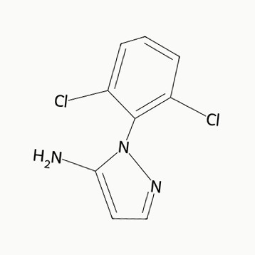 Nc1ccnn1-c1c(Cl)cccc1Cl